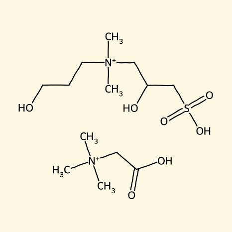 C[N+](C)(C)CC(=O)O.C[N+](C)(CCCO)CC(O)CS(=O)(=O)O